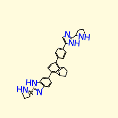 c1cc(-c2ccc(-c3ccc4nc([C@@H]5CCCN5)[nH]c4c3)c3c2C2CCC3C2)ccc1-c1cnc(C2CCCN2)[nH]1